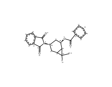 O=C(O[C@@H]1C[C@H](N2C(=O)c3ccccc3C2=O)CC2C1C2(F)F)c1ccccc1